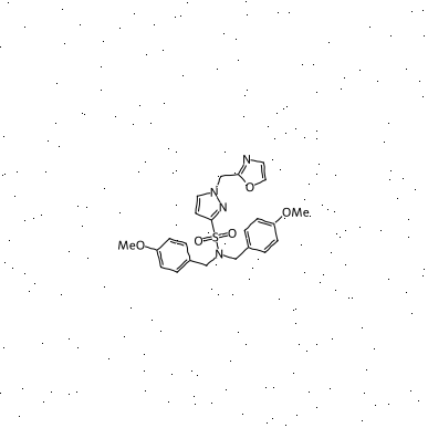 COc1ccc(CN(Cc2ccc(OC)cc2)S(=O)(=O)c2ccn(Cc3ncco3)n2)cc1